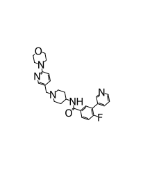 O=C(NC1CCN(Cc2ccc(N3CCOCC3)nc2)CC1)c1ccc(F)c(-c2cccnc2)c1